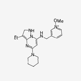 CCC1=C2N=C(N3CCCCC3)C=C(NCc3ccc[n+](OC)c3)N2NC1